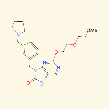 COCCOCCOc1ncc2[nH]c(=O)n(Cc3cccc(CN4CCCC4)c3)c2n1